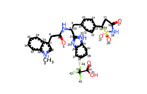 Cn1cc(CC(=O)N[C@@H](Cc2ccc(C3CC(=O)NS3(=O)=O)cc2)c2nc3ccccc3[nH]2)c2ccccc21.O=C(O)C(F)(F)F